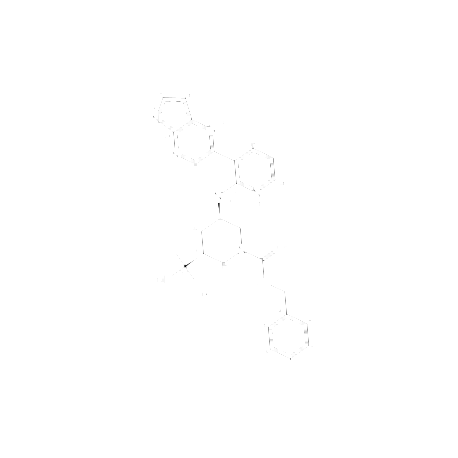 O=C(OCc1ccccc1)N1C[C@H](Nc2ncccc2-c2cnc3[nH]ccc3n2)C[C@H](C(F)(F)F)C1